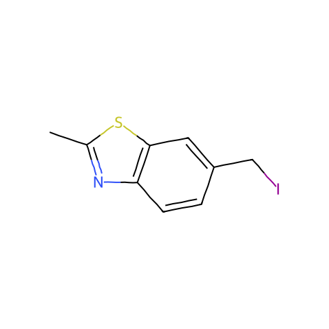 Cc1nc2ccc(CI)cc2s1